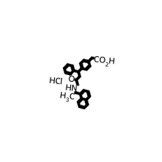 C[C@@H](NCC1CC(c2ccc(CC(=O)O)cc2)c2ccccc2O1)c1cccc2ccccc12.Cl